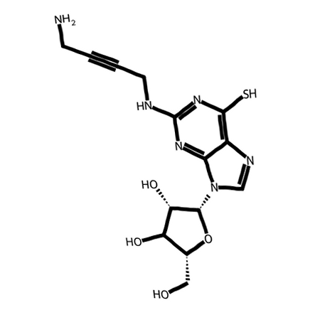 NCC#CCNc1nc(S)c2ncn([C@@H]3O[C@H](CO)C(O)[C@@H]3O)c2n1